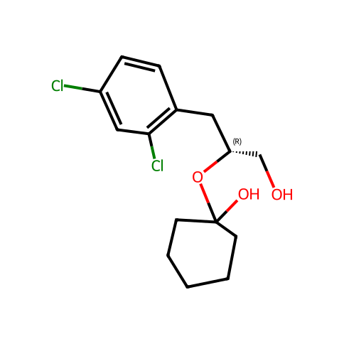 OC[C@@H](Cc1ccc(Cl)cc1Cl)OC1(O)CCCCC1